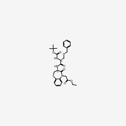 CCOC(=O)CN1C(=O)[C@H](NC(=O)[C@H](COCc2ccccc2)NC(=O)OC(C)(C)C)CSc2ccccc21